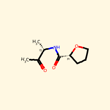 CC(=O)[C@H](C)NC(=O)[C@H]1CCCO1